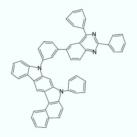 c1ccc(-c2nc(-c3ccccc3)c3cc(-c4cccc(-n5c6ccccc6c6cc7c8c9ccccc9ccc8n(-c8ccccc8)c7cc65)c4)ccc3n2)cc1